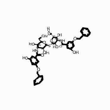 O=C(N[C@@H]1[C@@H](O)[C@@H](CO)O[C@@H](S[C@@H]2O[C@H](CO)[C@H](O)[C@@H](NC(=O)c3cc(O)cc(OCc4ccccc4)c3)[C@H]2O)[C@@H]1O)c1cc(O)cc(OCc2ccccc2)c1